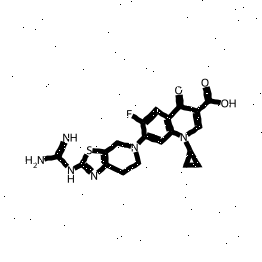 N=C(N)Nc1nc2c(s1)CN(c1cc3c(cc1F)c(=O)c(C(=O)O)cn3C1CC1)CC2